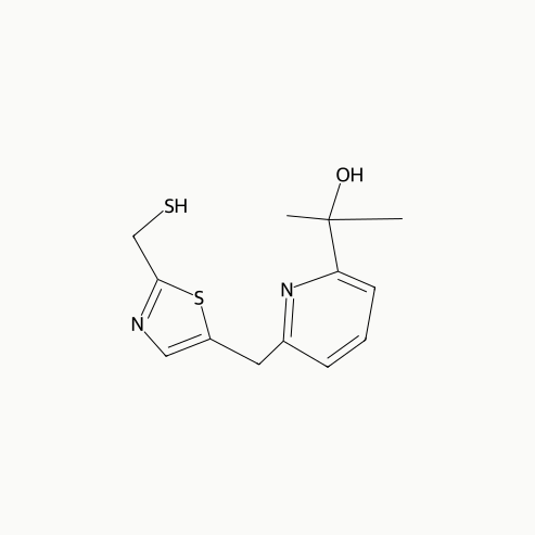 CC(C)(O)c1cccc(Cc2cnc(CS)s2)n1